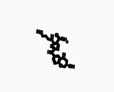 NC(=O)c1cnc(Nc2ccc3c(c2)NC[C@H](O)CO3)nc1NCCCO